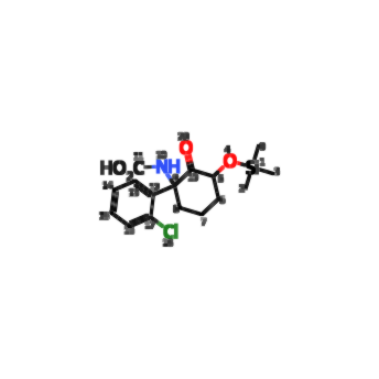 C[Si](C)(C)OC1CCCC(NC(=O)O)(c2ccccc2Cl)C1=O